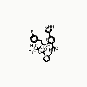 CC(C)(C)OC(=O)N1CCC[C@@H]1CNC(=O)c1ccc(-c2cn[nH]c2)nc1NCCc1cccc(F)c1